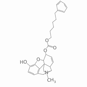 CN1CCC23c4c5ccc(O)c4OC2C(OC(=O)OCCCCCCc2ccccc2)C=CC3C1C5